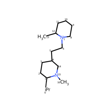 CC(C)C1CCC(CCN2CCCCC2C)CN1C